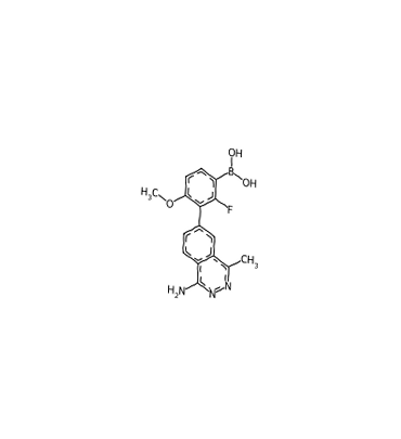 COc1ccc(B(O)O)c(F)c1-c1ccc2c(N)nnc(C)c2c1